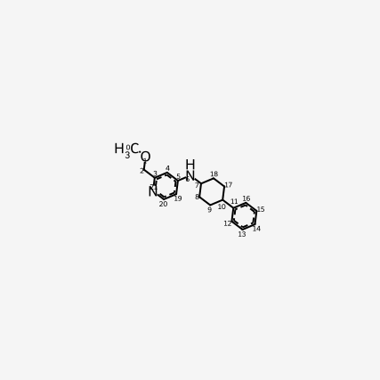 COCc1cc(NC2CCC(c3ccccc3)CC2)ccn1